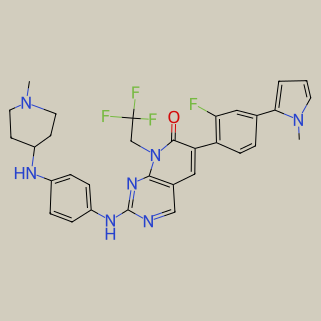 CN1CCC(Nc2ccc(Nc3ncc4cc(-c5ccc(-c6cccn6C)cc5F)c(=O)n(CC(F)(F)F)c4n3)cc2)CC1